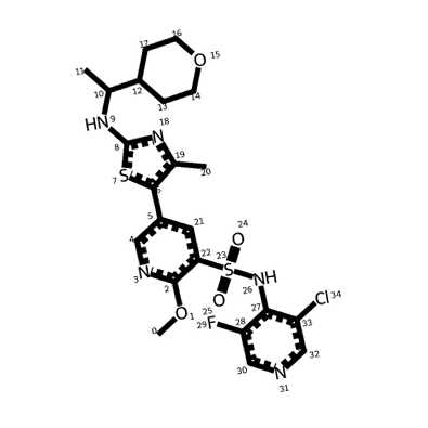 COc1ncc(-c2sc(NC(C)C3CCOCC3)nc2C)cc1S(=O)(=O)Nc1c(F)cncc1Cl